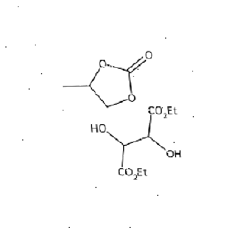 CC1COC(=O)O1.CCOC(=O)C(O)C(O)C(=O)OCC